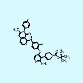 Cc1cc2ccnc(Nc3ccc(Oc4ccnc(N)c4C4=CCN(C(=O)OC(C)(C)C)CC4)c(F)c3)c2c(=O)n1-c1ccc(F)cc1